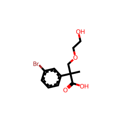 CC(COCCO)(C(=O)O)c1cccc(Br)c1